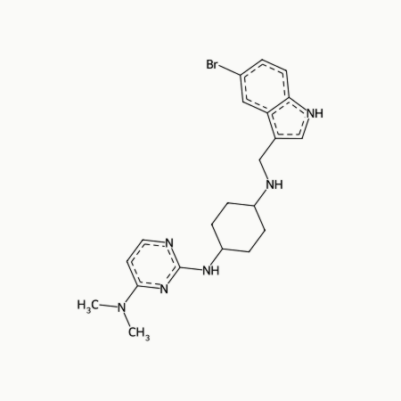 CN(C)c1ccnc(NC2CCC(NCc3c[nH]c4ccc(Br)cc34)CC2)n1